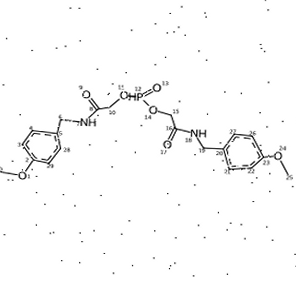 COc1ccc(CNC(=O)CO[PH](=O)OCC(=O)NCc2ccc(OC)cc2)cc1